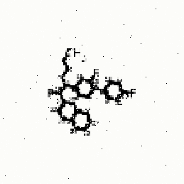 CCCCC(c1ccc(-c2ccc(F)cc2)c(F)c1)C(F)c1ccc2ccccc2c1